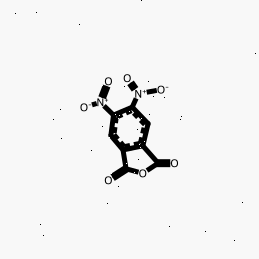 O=C1OC(=O)c2cc([N+](=O)[O-])c([N+](=O)[O-])cc21